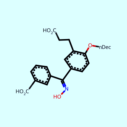 CCCCCCCCCCOc1ccc(C(=NO)c2cccc(C(=O)O)c2)cc1CCC(=O)O